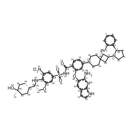 CC(C)c1ccccc1[C@H]1CCCN1C1CC2(CCN(c3ccc(C(=O)NS(=O)(=O)c4cc5c(c([N+](=O)[O-])c4)N[C@@H]([C@H]4CC[C@](C)(O)CC4)CO5)c(Oc4cc5cc[nH]c5nc4N)c3)CC2)C1